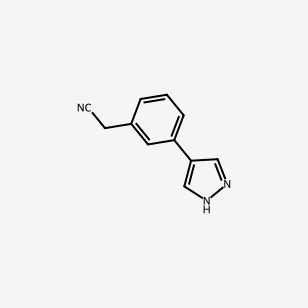 N#CCc1cccc(-c2cn[nH]c2)c1